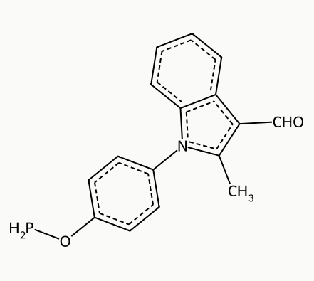 Cc1c(C=O)c2ccccc2n1-c1ccc(OP)cc1